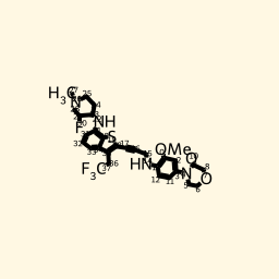 COc1cc(N2CCOCC2=O)ccc1NCC#Cc1sc2c(NC3CCN(C)CC3F)cccc2c1CC(F)(F)F